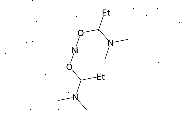 CCC([O][Ni][O]C(CC)N(C)C)N(C)C